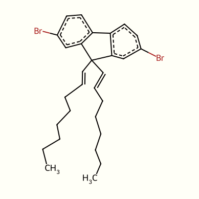 CCCCCCC=CC1(C=CCCCCCC)c2cc(Br)ccc2-c2ccc(Br)cc21